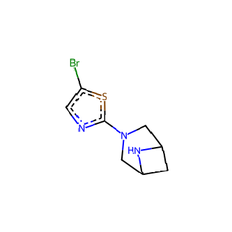 Brc1cnc(N2CC3CC(C2)N3)s1